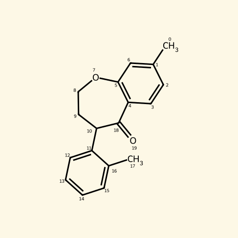 Cc1ccc2c(c1)OCCC(c1ccccc1C)C2=O